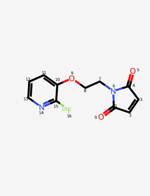 O=C1C=CC(=O)N1CCOc1cccnc1[18F]